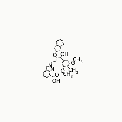 COc1cc([C@@H](O)[C@H](CCn2cc3cccc(C(=O)O)c3n2)OC2Cc3ccccc3C2)cc(OC)c1C